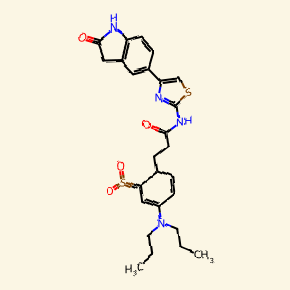 CCCN(CCC)C1=CC(=S(=O)=O)C(CCC(=O)Nc2nc(-c3ccc4c(c3)CC(=O)N4)cs2)C=C1